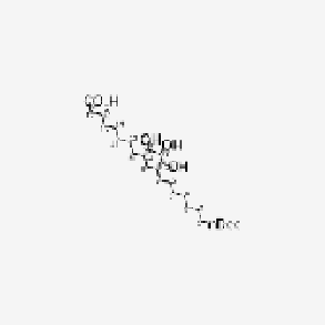 CCCCCCCCCCCCCCCCCCCCCCCCCCCC(=O)O.OCC(O)CO